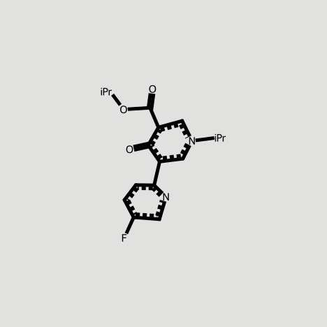 CC(C)OC(=O)c1cn(C(C)C)cc(-c2ccc(F)cn2)c1=O